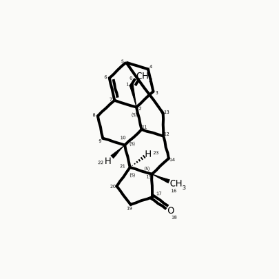 C=C[C@]12CCC3C=C1CC[C@@H]1C2C(C3)C[C@]2(C)C(=O)CC[C@@H]12